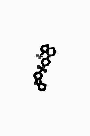 Cc1cccc2c1N(C1CCN(S(=O)(=O)c3ccc4oc5ccccc5c4c3)CC1)COC2